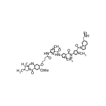 C=C1CN2C(=O)c3cc(OC)c(OCCCC(=O)Nc4cn(C)c(C(=O)Nc5cc(C(=O)Nc6cc(C(=O)n7ccc8ccc(CNCC)cc87)n(C)c6)n(C)c5)n4)cc3N=C[C@]2(C)C1